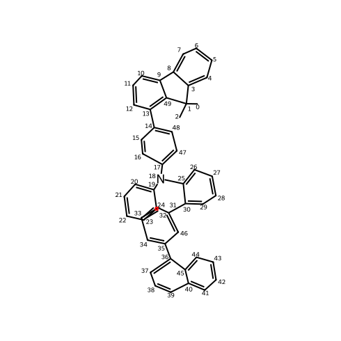 CC1(C)c2ccccc2-c2cccc(-c3ccc(N(c4ccccc4)c4ccccc4-c4cccc(-c5cccc6ccccc56)c4)cc3)c21